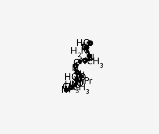 Cc1nccn1-c1ccc([C@H](C)NC(=O)[C@@H]2C[C@@H](O)CN2C(=O)[C@H](c2cc(N3CCC(CN4CCC(O[C@H]5C[C@H](N6CCC(C(C)n7cc(C#Cc8cc(-c9ccccc9O)nnc8N)cn7)CC6)C5)CC4)CC3)no2)C(C)C)cc1